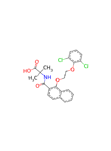 CC(C)(NC(=O)c1ccc2ccccc2c1OCCOc1c(Cl)cccc1Cl)C(=O)O